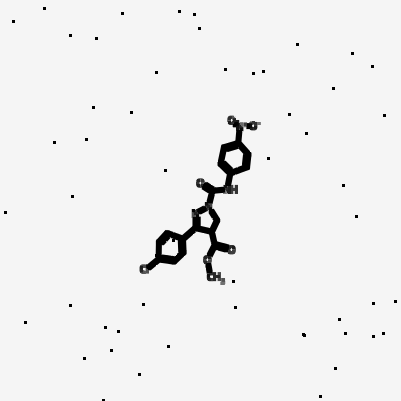 COC(=O)C1CN(C(=O)Nc2ccc([N+](=O)[O-])cc2)N=C1c1ccc(Cl)cc1